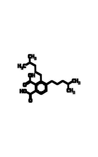 CC(C)CCCc1ccc(C(=O)O)c(C(=O)O)c1CCCC(C)C